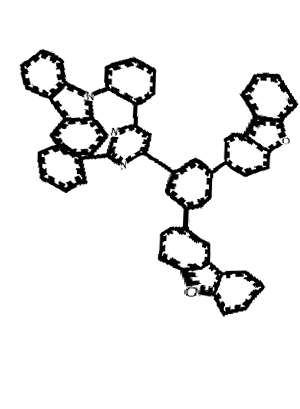 c1ccc(-c2nc(-c3cc(-c4ccc5oc6ccccc6c5c4)cc(-c4ccc5oc6ccccc6c5c4)c3)cc(-c3ccccc3-n3c4ccccc4c4ccccc43)n2)cc1